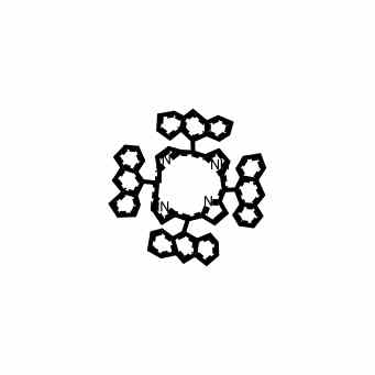 C1=Cc2nc1c(-c1c3ccccc3cc3ccccc13)c1ccc([nH]1)c(-c1c3ccccc3cc3ccccc13)c1nc(c(-c3c4ccccc4cc4ccccc34)c3ccc([nH]3)c2-c2c3ccccc3cc3ccccc23)C=C1